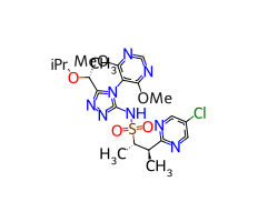 COc1ncnc(OC)c1-n1c(NS(=O)(=O)[C@@H](C)[C@H](C)c2ncc(Cl)cn2)nnc1[C@@H](C)OC(C)C